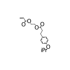 C=CC(=O)OCCOC(=O)CCc1ccc(OC(C)C)cc1